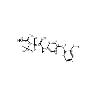 CCc1ccccc1Oc1ccc(NC(=O)C(C)(C)N(C(=O)O)C(C)(C)C)cn1